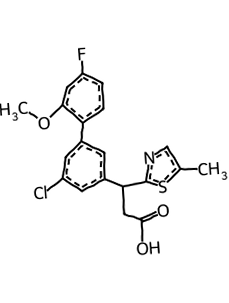 COc1cc(F)ccc1-c1cc(Cl)cc(C(CC(=O)O)c2ncc(C)s2)c1